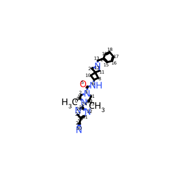 C[C@@H]1CN(C(=O)NC2CC3(C2)CN(Cc2ccccc2)C3)C[C@@H](C)N1c1ncc(C#N)cn1